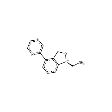 NC[C@@H]1OCc2c(-c3cnccn3)cccc21